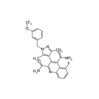 Cc1nn(Cc2cccc(OC(F)(F)F)c2)c(C)c1-c1c(C(N)=O)nc2cccc(F)c2c1C(N)=O